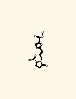 COC(=O)c1ccc(C=CCN2C(=O)CC[C@@H]2C(=O)O)s1